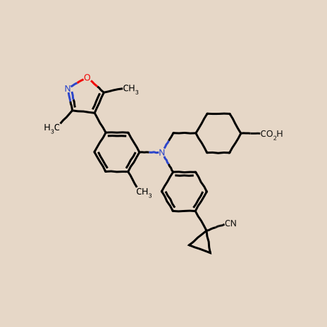 Cc1ccc(-c2c(C)noc2C)cc1N(CC1CCC(C(=O)O)CC1)c1ccc(C2(C#N)CC2)cc1